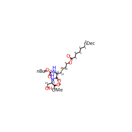 CCCCCCCCCCCCCCCC(=O)OCCSC[C@H](NC(=O)OCCCC)C(=O)NC(CO)C(=O)OC